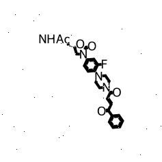 CC(=O)NC[C@H]1CN(c2ccc(N3CCN(C(=O)C=CC(=O)c4ccccc4)CC3)c(F)c2)C(=O)O1